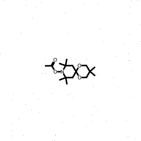 CC(=O)ON1C(C)(C)CC2(CC1(C)C)OCC(C)(C)CO2